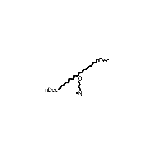 CCCCCCCCCCCCCCCCCCC(CCCCCCCCCCCCCCCCCC)OCCCCN(C)C